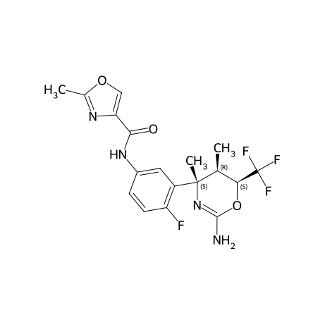 Cc1nc(C(=O)Nc2ccc(F)c([C@@]3(C)N=C(N)O[C@H](C(F)(F)F)[C@@H]3C)c2)co1